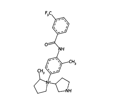 Cc1cc([N+]2(C3CCNC3)CCCC2C)ccc1NC(=O)c1cccc(C(F)(F)F)c1